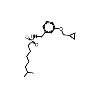 CC(C)CCCCCS(=O)(=O)NCc1cccc(OCC2CC2)c1